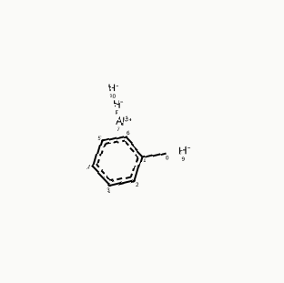 Cc1ccccc1.[Al+3].[H-].[H-].[H-]